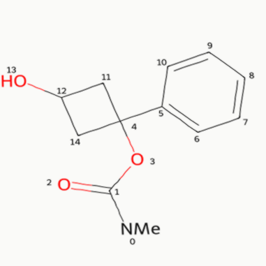 CNC(=O)OC1(c2ccccc2)CC(O)C1